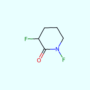 O=C1C(F)CCCN1F